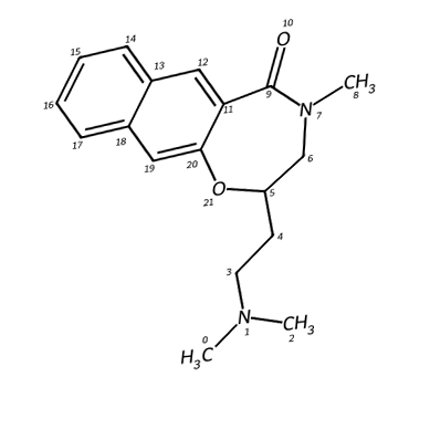 CN(C)CCC1CN(C)C(=O)c2cc3ccccc3cc2O1